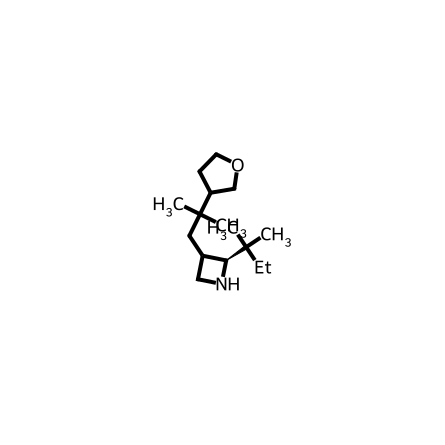 CCC(C)(C)[C@H]1NCC1CC(C)(C)C1CCOC1